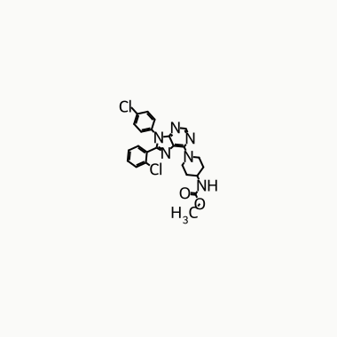 COC(=O)NC1CCN(c2ncnc3c2nc(-c2ccccc2Cl)n3-c2ccc(Cl)cc2)CC1